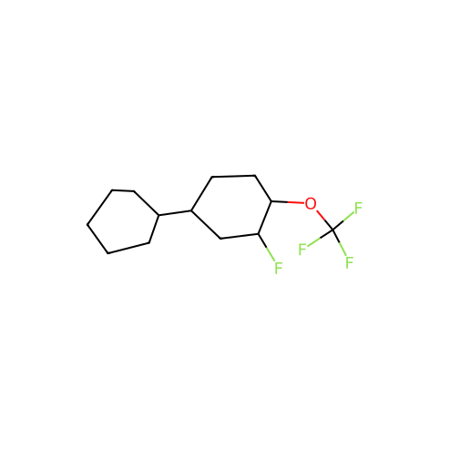 FC1CC(C2CCCCC2)CCC1OC(F)(F)F